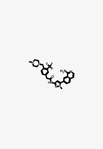 CN1CCN(Cc2ccc(CC(=O)Nc3cc(-c4ccc5ccnc(N)c5c4)n(C)n3)cc2C(F)(F)F)CC1